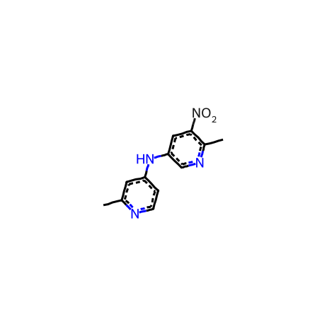 Cc1cc(Nc2cnc(C)c([N+](=O)[O-])c2)ccn1